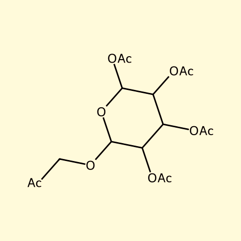 CC(=O)COC1OC(OC(C)=O)C(OC(C)=O)C(OC(C)=O)C1OC(C)=O